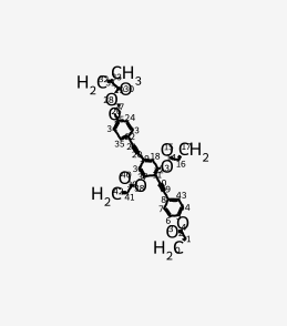 C=CC(=O)Oc1ccc(C#Cc2c(OC(=O)C=C)cc(C#Cc3ccc(OCOC(=O)C(=C)C)cc3)cc2OC(=O)C=C)cc1